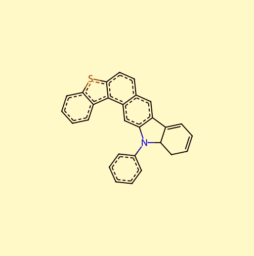 C1=CCC2C(=C1)c1cc3ccc4sc5ccccc5c4c3cc1N2c1ccccc1